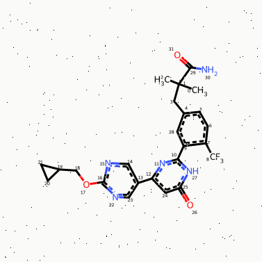 CC(C)(Cc1ccc(C(F)(F)F)c(-c2nc(-c3cnc(OCC4CC4)nc3)cc(=O)[nH]2)c1)C(N)=O